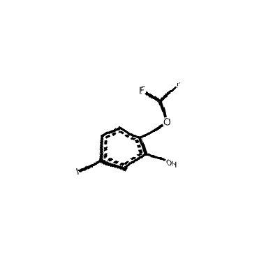 Oc1cc(I)ccc1OC(F)F